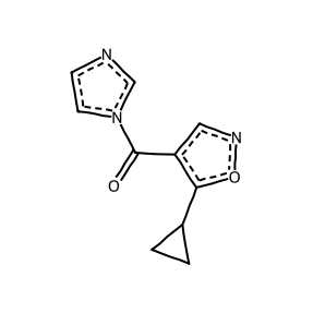 O=C(c1cnoc1C1CC1)n1ccnc1